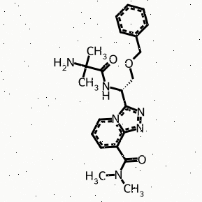 CN(C)C(=O)c1cccn2c([C@@H](COCc3ccccc3)NC(=O)C(C)(C)N)nnc12